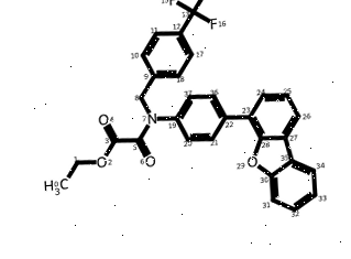 CCOC(=O)C(=O)N(Cc1ccc(C(F)(F)F)cc1)c1ccc(-c2cccc3c2oc2ccccc23)cc1